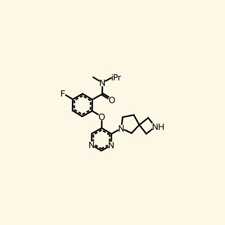 CC(C)N(C)C(=O)c1cc(F)ccc1Oc1cncnc1N1CCC2(CNC2)C1